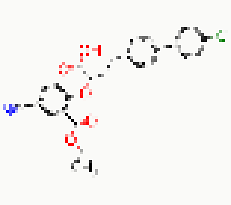 CCOC(=O)c1cc(C#N)ccc1OC(CCc1ccc(-c2ccc(Cl)cc2)cc1)C(=O)O